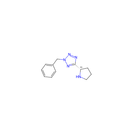 c1ccc(Cn2nnc([C@@H]3CCCN3)n2)cc1